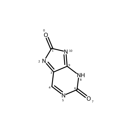 O=C1N=c2cnc(=O)[nH]c2=N1